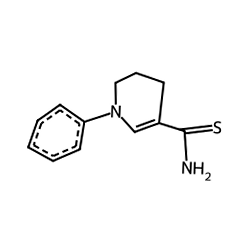 NC(=S)C1=CN(c2ccccc2)CCC1